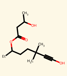 CCC(CCC(C)(C)C#CO)OC(=O)CC(C)O